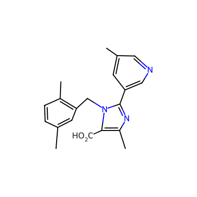 Cc1cncc(-c2nc(C)c(C(=O)O)n2Cc2cc(C)ccc2C)c1